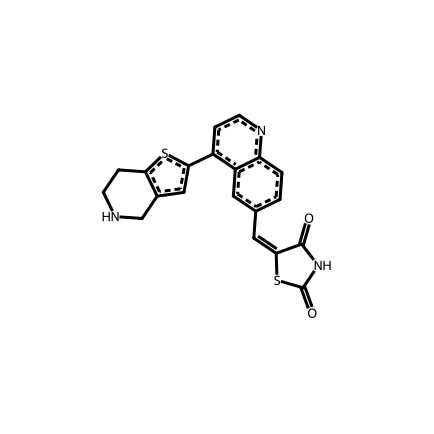 O=C1NC(=O)/C(=C\c2ccc3nccc(-c4cc5c(s4)CCNC5)c3c2)S1